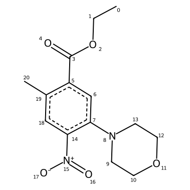 CCOC(=O)c1cc(N2CCOCC2)c([N+](=O)[O-])cc1C